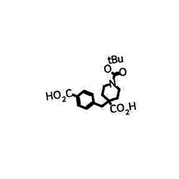 CC(C)(C)OC(=O)N1CCC(Cc2ccc(C(=O)O)cc2)(C(=O)O)CC1